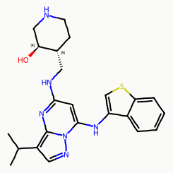 CC(C)c1cnn2c(Nc3csc4ccccc34)cc(NC[C@H]3CCNC[C@@H]3O)nc12